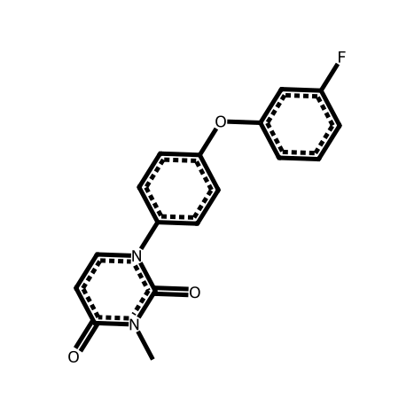 Cn1c(=O)ccn(-c2ccc(Oc3cccc(F)c3)cc2)c1=O